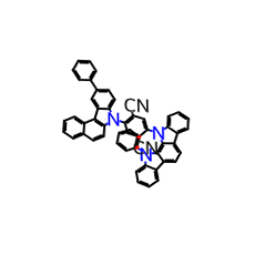 N#Cc1cc(-n2c3ccccc3c3ccc4c5ccccc5n(-c5ccccc5)c4c32)c(C#N)cc1-n1c2ccc(-c3ccccc3)cc2c2c3ccccc3ccc21